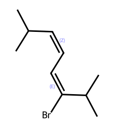 CC(C)/C=C\C=C(\Br)C(C)C